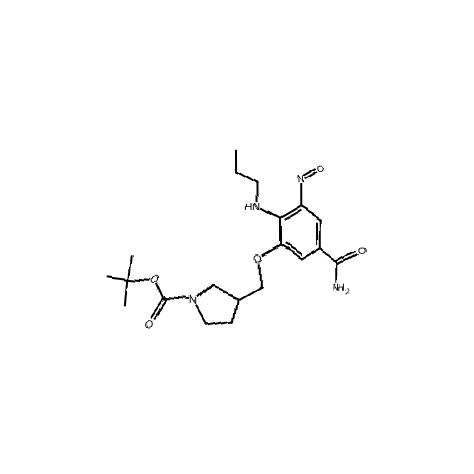 CCCNc1c(N=O)cc(C(N)=O)cc1OCC1CCN(C(=O)OC(C)(C)C)C1